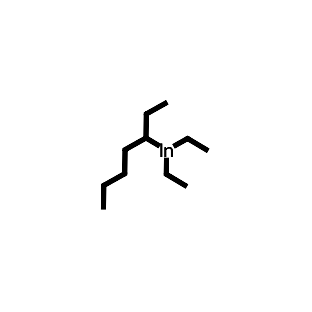 CCCC[CH](CC)[In]([CH2]C)[CH2]C